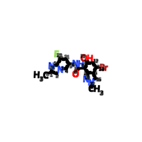 Cc1cn2cc(NC(=O)c3c(O)cc(Br)c4cn(C)nc34)cc(F)c2n1